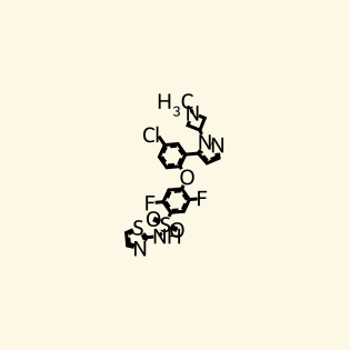 CN1CC(n2nccc2-c2cc(Cl)ccc2Oc2cc(F)c(S(=O)(=O)Nc3nccs3)cc2F)C1